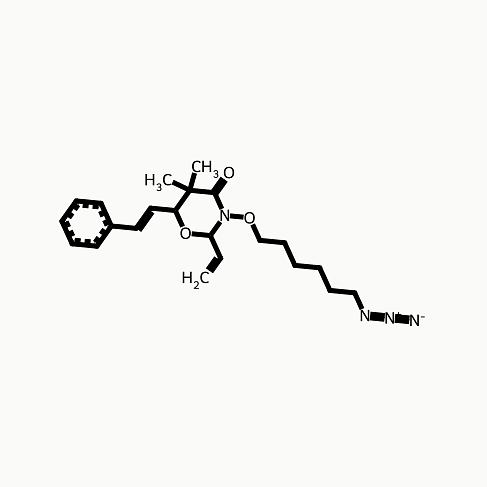 C=CC1OC(/C=C/c2ccccc2)C(C)(C)C(=O)N1OCCCCCCN=[N+]=[N-]